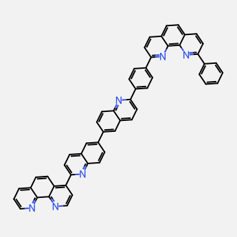 c1ccc(-c2ccc3ccc4ccc(-c5ccc(-c6ccc7cc(-c8ccc9nc(-c%10ccnc%11c%10ccc%10cccnc%10%11)ccc9c8)ccc7n6)cc5)nc4c3n2)cc1